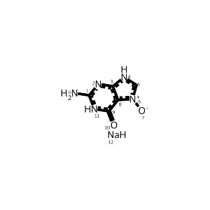 Nc1nc2[nH]c[n+]([O-])c2c(=O)[nH]1.[NaH]